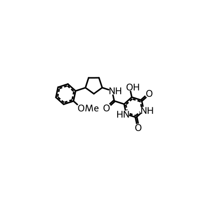 COc1ccccc1C1CCC(NC(=O)c2[nH]c(=O)[nH]c(=O)c2O)C1